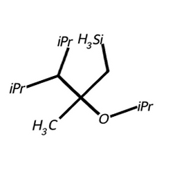 CC(C)OC(C)(C[SiH3])C(C(C)C)C(C)C